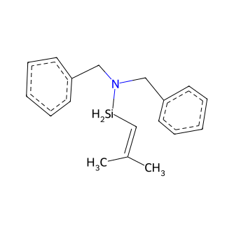 CC(C)=C[SiH2]N(Cc1ccccc1)Cc1ccccc1